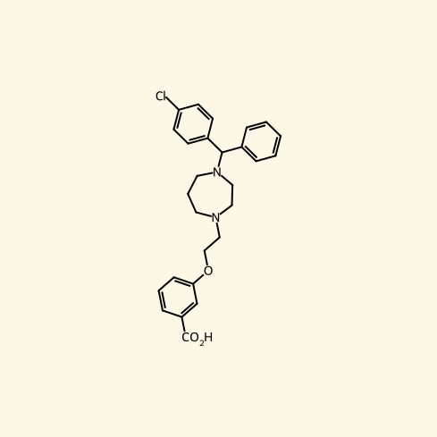 O=C(O)c1cccc(OCCN2CCCN(C(c3ccccc3)c3ccc(Cl)cc3)CC2)c1